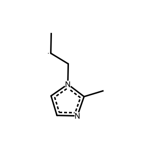 C[CH]Cn1ccnc1C